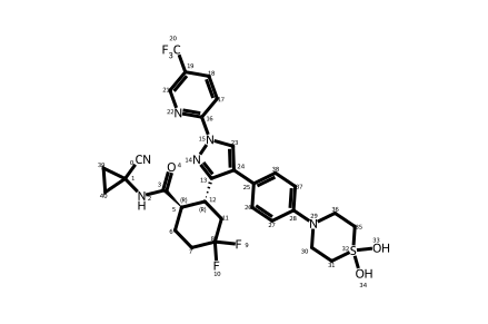 N#CC1(NC(=O)[C@@H]2CCC(F)(F)C[C@H]2c2nn(-c3ccc(C(F)(F)F)cn3)cc2-c2ccc(N3CCS(O)(O)CC3)cc2)CC1